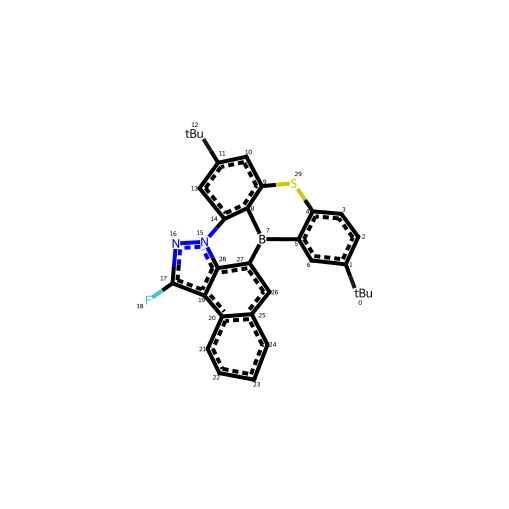 CC(C)(C)c1ccc2c(c1)B1c3c(cc(C(C)(C)C)cc3-n3nc(F)c4c5ccccc5cc1c43)S2